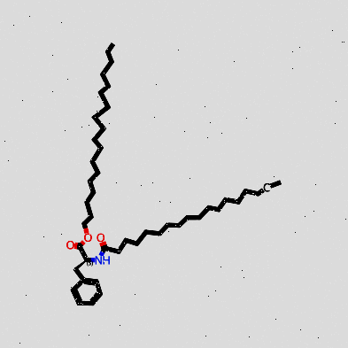 CCCCCCCCCCCCCCCCCCOC(=O)[C@H](Cc1ccccc1)NC(=O)CCCCCCCCCCCCCCCCC